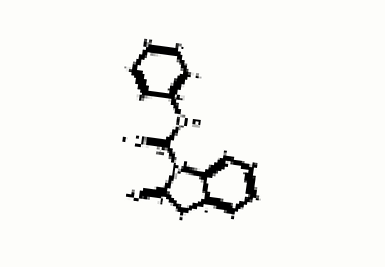 O=C1Cc2ccccc2N1C(=O)Oc1ccccc1